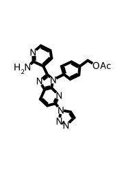 CC(=O)OCc1ccc(-n2c(-c3cccnc3N)nc3ccc(-n4ccnn4)nc32)cc1